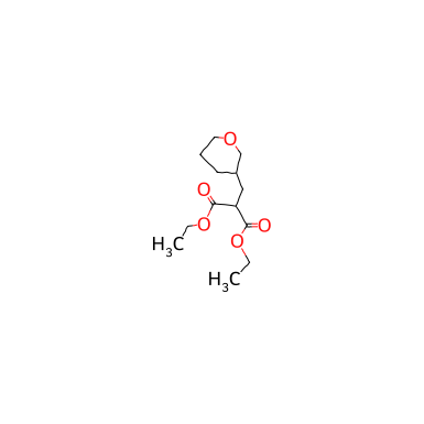 CCOC(=O)C(CC1CCCOC1)C(=O)OCC